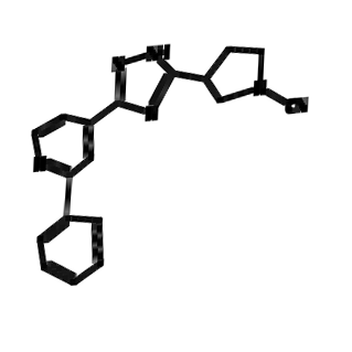 N#CN1CCC(c2nc(-c3ccnc(-c4ccccc4)c3)n[nH]2)C1